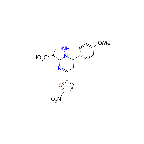 COc1ccc(C2=CC(c3ccc([N+](=O)[O-])s3)=NC3C(C(=O)O)CNN23)cc1